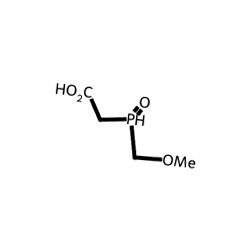 COC[PH](=O)CC(=O)O